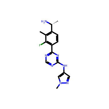 Cc1c([C@@H](C)N)ccc(-c2ncnc(Nc3cnn(C)c3)n2)c1F